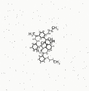 CCCCc1ccccc1C(C)Cc1ccc(O)c(CC(C)c2ccccc2CCCC)c1CC(C)c1ccccc1CCCC